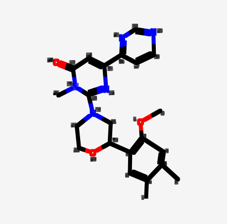 COc1cc(C)c(C)cc1C1CN(c2nc(-c3ccncn3)cc(=O)n2C)CCO1